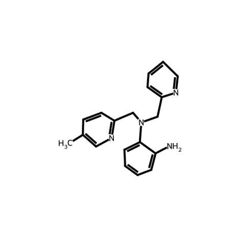 Cc1ccc(CN(Cc2ccccn2)c2ccccc2N)nc1